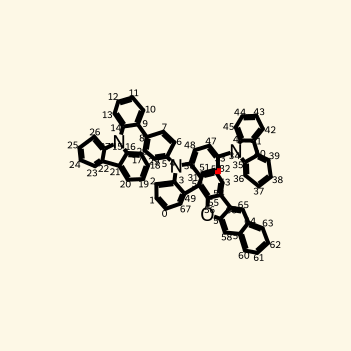 c1ccc(N(c2ccc(-c3ccccc3-n3c4ccccc4c4ccccc43)cc2)c2ccc(-n3c4ccccc4c4ccccc43)cc2)c(-c2cccc3c2oc2cc4ccccc4cc23)c1